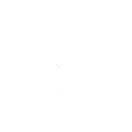 CC(C)(C)O/N=C(/c1cccc(C(F)(F)F)c1)c1ncccc1O